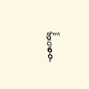 CCCCC[SiH]1CCC([C@H]2CC[Si@H](c3ccc(-c4ccc(F)cc4)cc3)CC2)CC1